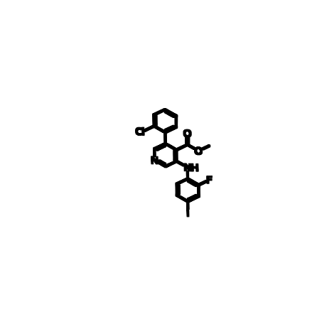 COC(=O)c1c(Nc2ccc(I)cc2F)cncc1-c1ccccc1Cl